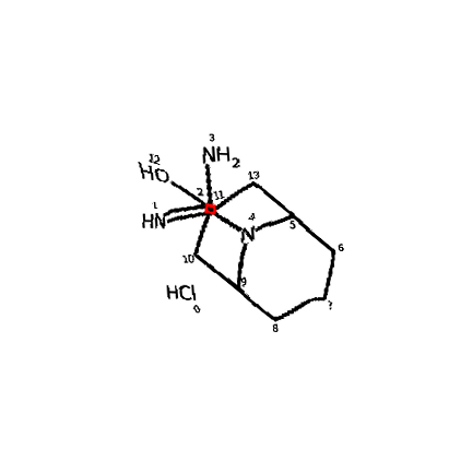 Cl.N=C(N)N1C2CCCC1CC(O)C2